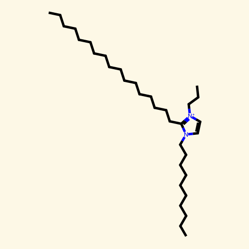 CCCCCCCCCCCCCCCCCc1n(CCCCCCCCCC)cc[n+]1CCC